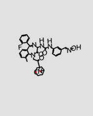 Cc1cccc2c1N(CC(=O)N1CC3CCC(CC3)C1)C(=O)C(NC(=O)Nc1cccc(C=NO)c1)N=C2c1ccccc1F